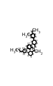 C=C(C1CCCCC1)N(CC1CCC(c2ccc(CC)c(C)c2)CC1)c1cccc(N2CCC(CCC)C2)c1